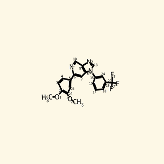 COc1ccc(-c2cc3c(cn2)ncn3-c2cccc(C(F)(F)F)c2)cc1OC